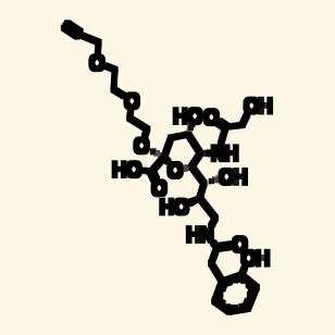 C#CCOCCOCCO[C@]1(C(=O)O)C[C@H](O)[C@@H](NC(=O)CO)[C@H]([C@H](O)[C@H](O)CNC(=O)Cc2ccccc2O)O1